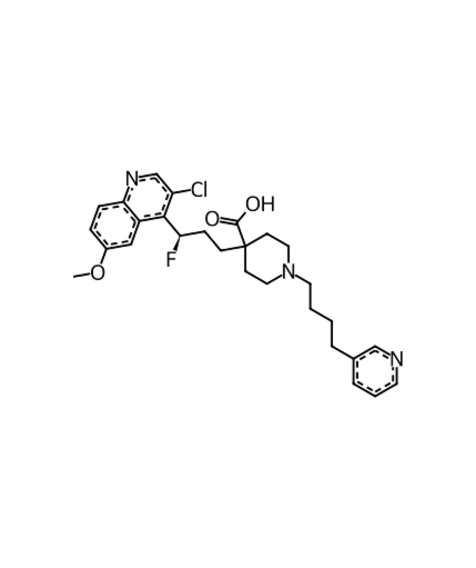 COc1ccc2ncc(Cl)c([C@H](F)CCC3(C(=O)O)CCN(CCCCc4cccnc4)CC3)c2c1